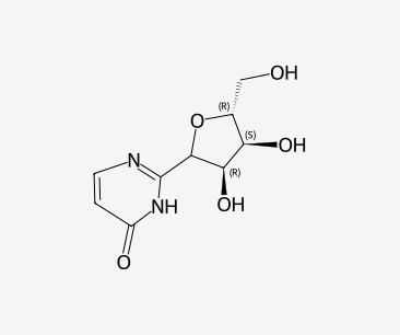 O=c1ccnc(C2O[C@H](CO)[C@@H](O)[C@H]2O)[nH]1